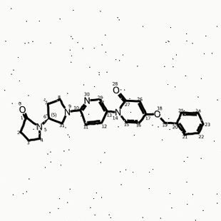 O=C1CCCN1[C@H]1CCN(c2ccc(-n3ccc(OCc4ccccc4)cc3=O)cn2)C1